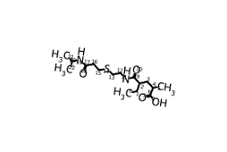 CCC(CC(C)C(=O)O)C(=O)NCCSCCC(=O)NC(C)C